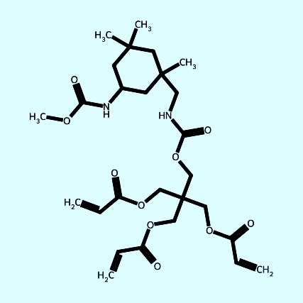 C=CC(=O)OCC(COC(=O)C=C)(COC(=O)C=C)COC(=O)NCC1(C)CC(NC(=O)OC)CC(C)(C)C1